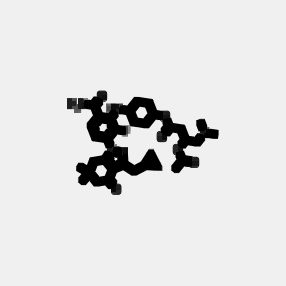 CC(=O)OC(CC(=O)OC1CCC(Nc2c(C(N)=O)ccc(-n3nc(CC4CC4)c4c3CC(C)(C)CC4=O)c2F)CC1)CN(C)C